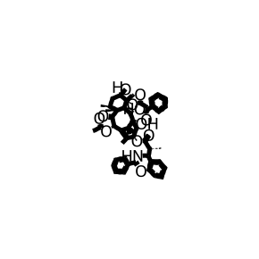 CC(=O)O[C@H]1C(=O)[C@@]2(C)[C@H]([C@H](OC(=O)c3ccccc3)[C@]3(O)C[C@H](OC(=O)[C@H](C)C(NC(=O)c4ccccc4)c4ccccc4)C(C)=C1C3(C)C)[C@]1(OC(C)=O)CO[C@@H]1C[C@@H]2C